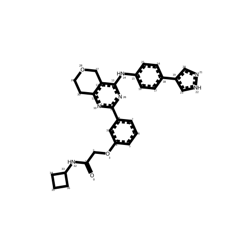 O=C(COc1cccc(-c2nc3c(c(Nc4ccc(-c5cn[nH]c5)cc4)n2)COCC3)c1)NC1CCC1